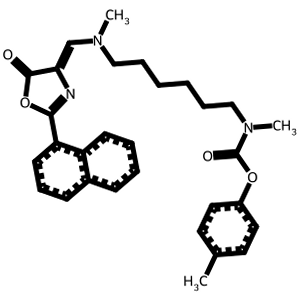 Cc1ccc(OC(=O)N(C)CCCCCCN(C)C=C2N=C(c3cccc4ccccc34)OC2=O)cc1